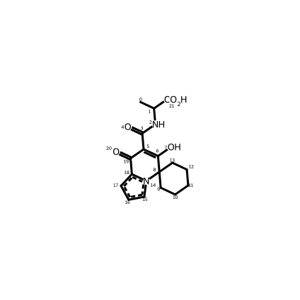 CC(NC(=O)C1=C(O)C2(CCCCC2)n2cccc2C1=O)C(=O)O